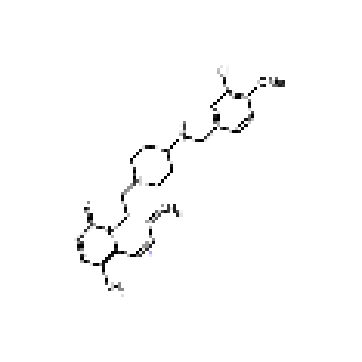 C=C/C=C\c1c(N)ccc(=O)n1CCN1CCC(NCc2ccc(OC)c(Cl)c2)CC1